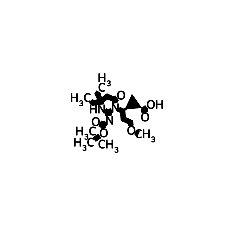 CCC1(CC)CC(=O)N(C(CCOC)[C@H]2C[C@@H]2C(=O)O)/C(=N/C(=O)OC(C)(C)C)N1